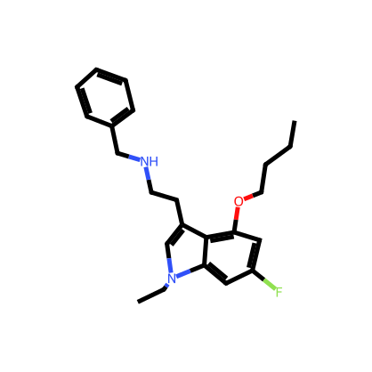 CCCCOc1cc(F)cc2c1c(CCNCc1ccccc1)cn2CC